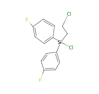 Fc1ccc([Si](Cl)(CCCl)c2ccc(F)cc2)cc1